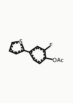 CC(=O)Oc1ccc(-c2cccs2)cc1F